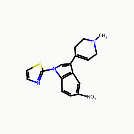 CN1CC=C(c2cn(-c3nccs3)c3ccc([N+](=O)[O-])cc23)CC1